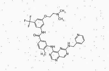 Cc1ccc(C(=O)Nc2cc(OCCN(C)C)cc(C(F)(F)F)c2)cc1Nc1ncnc2cnc(NCc3cccnc3)nc12